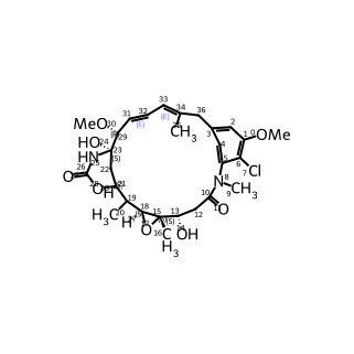 COc1cc2cc(c1Cl)N(C)C(=O)C[C@H](O)[C@]1(C)O[C@H]1C(C)[C@@H]1C[C@@](O)(NC(=O)O1)[C@H](OC)/C=C/C=C(\C)C2